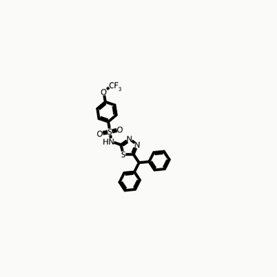 O=S(=O)(Nc1nnc(C(c2ccccc2)c2ccccc2)s1)c1ccc(OC(F)(F)F)cc1